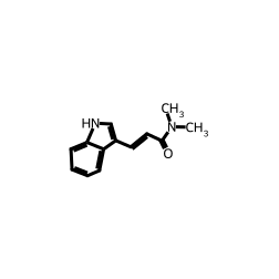 CN(C)C(=O)C=Cc1c[nH]c2ccccc12